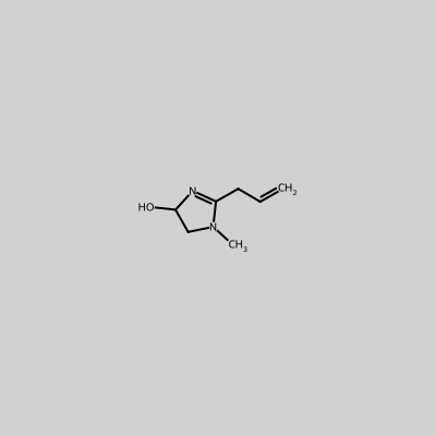 C=CCC1=NC(O)CN1C